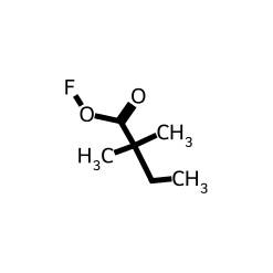 CCC(C)(C)C(=O)OF